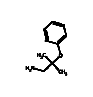 CC(C)(CN)Oc1[c]cccc1